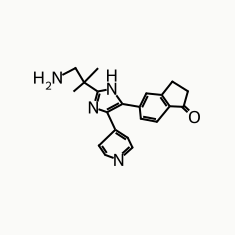 CC(C)(CN)c1nc(-c2ccncc2)c(-c2ccc3c(c2)CCC3=O)[nH]1